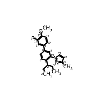 CCC(CC)c1ccc(-c2ccc(OC)c(F)c2)cc1-n1ccc(C)n1